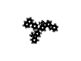 C[SiH]1c2cc(N(C3=CC=C(c4cccc5ccccc45)CC3)c3ccc4c(c3)[Si](C)(C)C3=C4C=CCC3)ccc2-c2c1ccc1c2SC2C=CC=CC12